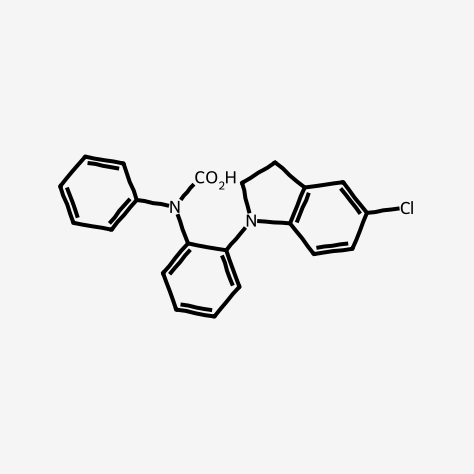 O=C(O)N(c1ccccc1)c1ccccc1N1CCc2cc(Cl)ccc21